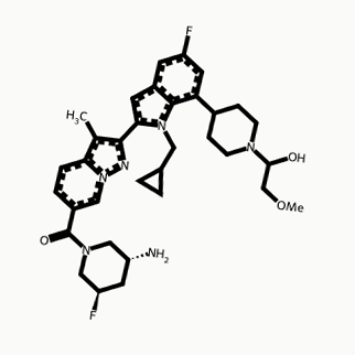 COCC(O)N1CCC(c2cc(F)cc3cc(-c4nn5cc(C(=O)N6C[C@H](N)C[C@@H](F)C6)ccc5c4C)n(CC4CC4)c23)CC1